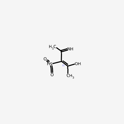 CC(=N)/C(=C(/C)O)[SH](=O)=O